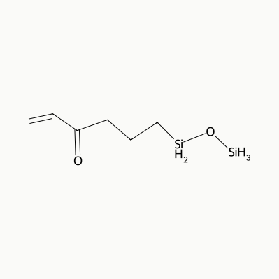 C=CC(=O)CCC[SiH2]O[SiH3]